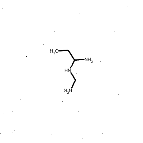 CCC(N)NCN